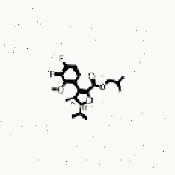 COc1c(C2=C(C(=O)OCC(C)C)O[C@@H](C(C)C)[C@H]2C)ccc(F)c1F